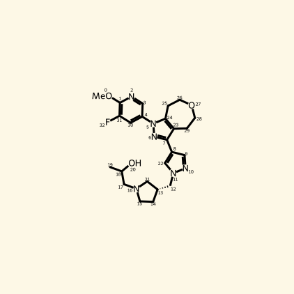 COc1ncc(-n2nc(-c3cnn(C[C@@H]4CCN(CC(C)O)C4)c3)c3c2CCOCC3)cc1F